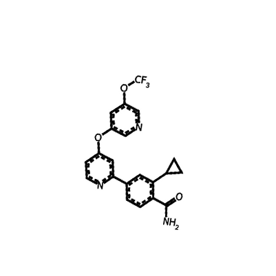 NC(=O)c1ccc(-c2cc(Oc3cncc(OC(F)(F)F)c3)ccn2)cc1C1CC1